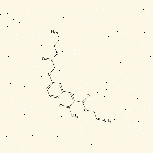 C=CCOC(=O)/C(=C/c1cccc(OCC(=O)OCCC)c1)C(C)=O